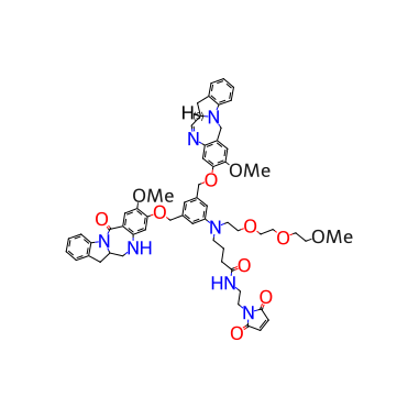 COCCOCCOCCN(CCCC(=O)NCCN1C(=O)C=CC1=O)c1cc(COc2cc3c(cc2OC)CN2c4ccccc4C[C@H]2C=N3)cc(COc2cc3c(cc2OC)C(=O)N2c4ccccc4CC2CN3)c1